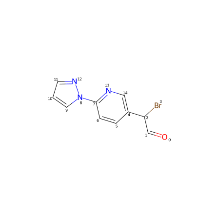 O=CC(Br)c1ccc(-n2cccn2)nc1